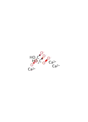 O=C([O-])O.O=C([O-])O.[Ca+2].[Ca+2].[Ca+2].[O-][O-].[O-][O-]